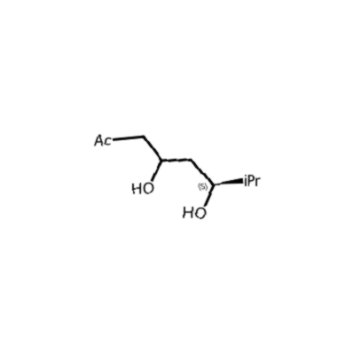 CC(=O)CC(O)C[C@H](O)C(C)C